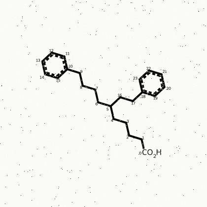 O=C(O)CCCCC(CCCCc1ccccc1)CCc1ccccc1